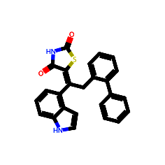 O=C1NC(=O)C(=C(Cc2ccccc2-c2ccccc2)c2cccc3[nH]ccc23)S1